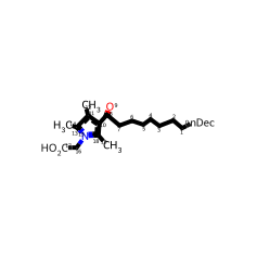 CCCCCCCCCCCCCCCCCC(=O)c1c(C)c(C)n(CC(=O)O)c1C